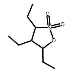 CCC1OS(=O)(=O)C(CC)C1CC